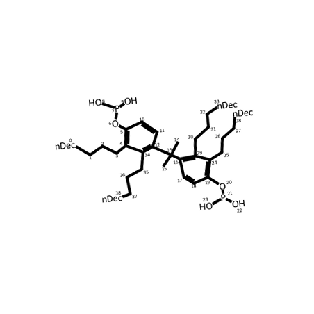 CCCCCCCCCCCCCc1c(OP(O)O)ccc(C(C)(C)c2ccc(OP(O)O)c(CCCCCCCCCCCCC)c2CCCCCCCCCCCCC)c1CCCCCCCCCCCCC